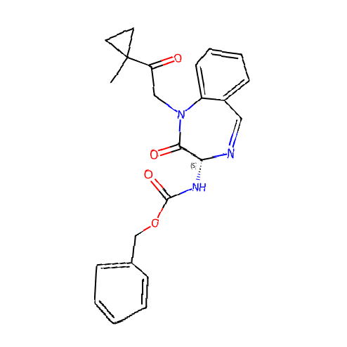 CC1(C(=O)CN2C(=O)[C@@H](NC(=O)OCc3ccccc3)N=Cc3ccccc32)CC1